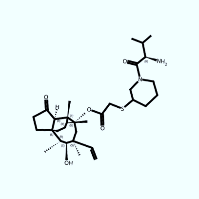 C=C[C@]1(C)C[C@@H](OC(=O)CSC2CCCN(C(=O)[C@H](N)C(C)C)C2)[C@]2(C)[C@H](C)CC[C@]3(CCC(=O)[C@H]32)[C@@H](C)[C@@H]1O